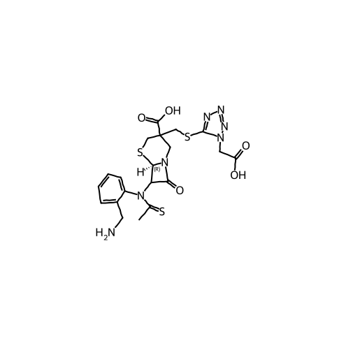 CC(=S)N(c1ccccc1CN)C1C(=O)N2CC(CSc3nnnn3CC(=O)O)(C(=O)O)CS[C@H]12